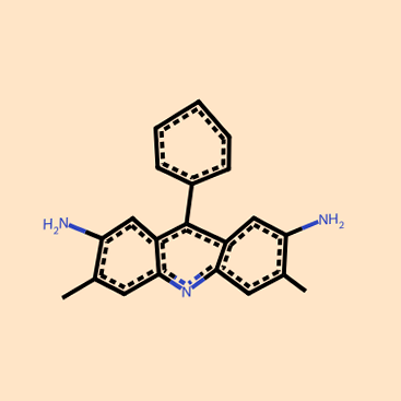 Cc1cc2nc3cc(C)c(N)cc3c(-c3ccccc3)c2cc1N